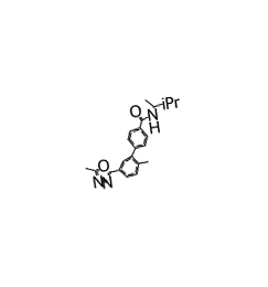 Cc1nnc(-c2ccc(C)c(-c3ccc(C(=O)NC(C)C(C)C)cc3)c2)o1